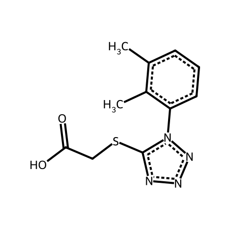 Cc1cccc(-n2nnnc2SCC(=O)O)c1C